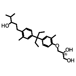 CCC(CC)(c1ccc(CCC(O)C(C)C)c(C)c1)c1ccc(OC[C@@H](O)CO)c(C)c1